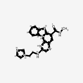 CNC(=O)c1cc2ncc(NCCn3ccnc3)nc2n2c1nc1ccccc12